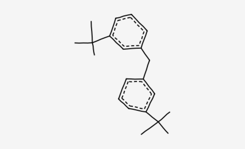 CC(C)(C)c1cccc(Cc2cccc(C(C)(C)C)c2)c1